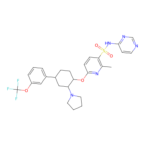 Cc1nc(OC2CCC(c3cccc(OC(F)(F)F)c3)CC2N2CCCC2)ccc1S(=O)(=O)Nc1ccncn1